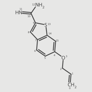 C=CCOc1ccc2cc(C(=N)N)sc2c1